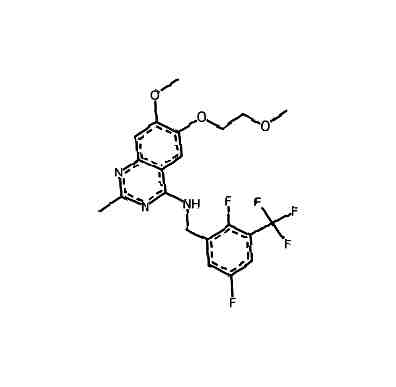 COCCOc1cc2c(NCc3cc(F)cc(C(F)(F)F)c3F)nc(C)nc2cc1OC